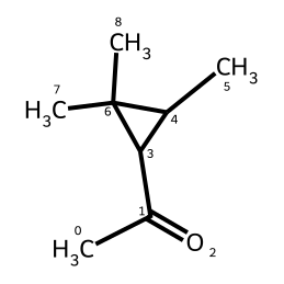 CC(=O)C1C(C)C1(C)C